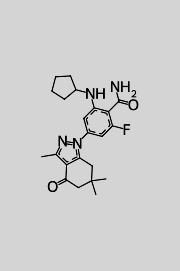 Cc1nn(-c2cc(F)c(C(N)=O)c(NC3CCCC3)c2)c2c1C(=O)CC(C)(C)C2